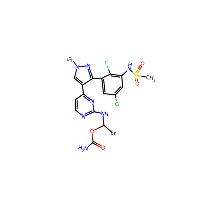 CCC(Nc1nccc(-c2cn(C(C)C)nc2-c2cc(Cl)cc(NS(C)(=O)=O)c2F)n1)OC(N)=O